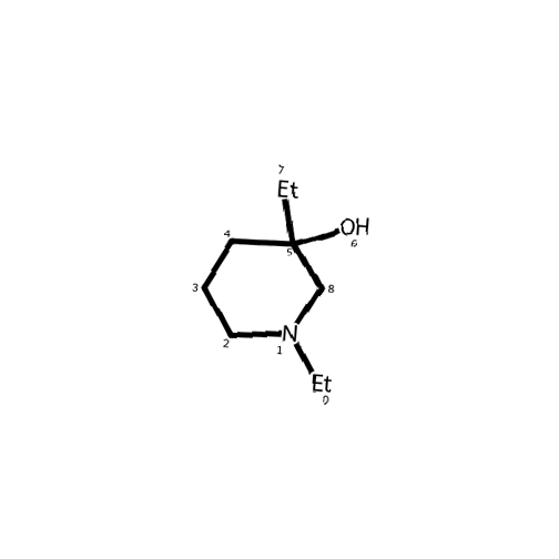 CCN1CCCC(O)(CC)C1